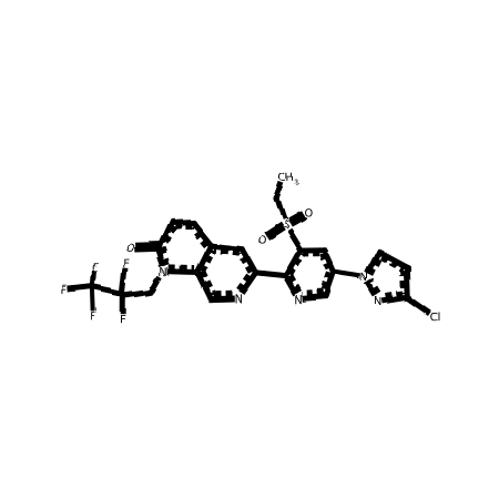 CCS(=O)(=O)c1cc(-n2ccc(Cl)n2)cnc1-c1cc2ccc(=O)n(CC(F)(F)C(F)(F)F)c2cn1